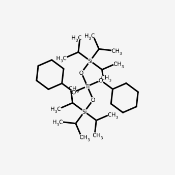 CC(C)[Si]([O][Ti]([O]C1CCCCC1)([O]C1CCCCC1)[O][Si](C(C)C)(C(C)C)C(C)C)(C(C)C)C(C)C